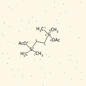 CC(=O)O[Si](C)(C)CC[Si](C)(C)OC(C)=O